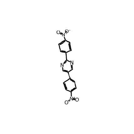 O=[N+]([O-])c1ccc(-c2cnc(-c3ccc([N+](=O)[O-])cc3)nc2)cc1